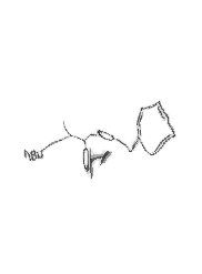 CCCCC(C)C(O)OCc1ccccc1